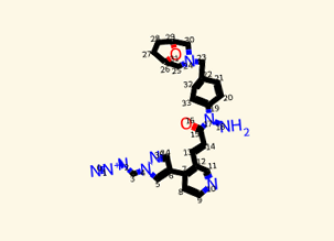 [N-]=[N+]=NCn1cc(-c2ccncc2/C=C/C(=O)N(N)c2ccc(CN3CC4CCC(C3)O4)cc2)cn1